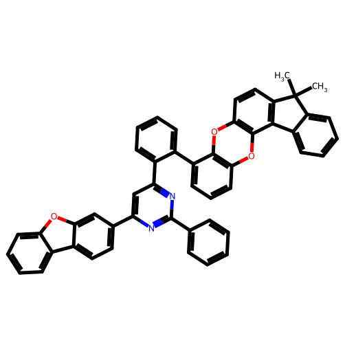 CC1(C)c2ccccc2-c2c1ccc1c2Oc2cccc(-c3ccccc3-c3cc(-c4ccc5c(c4)oc4ccccc45)nc(-c4ccccc4)n3)c2O1